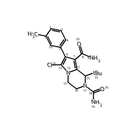 Cc1cccc(-c2c(C(N)=O)c3n(c2Cl)CCN(C(N)=O)C3C(C)(C)C)c1